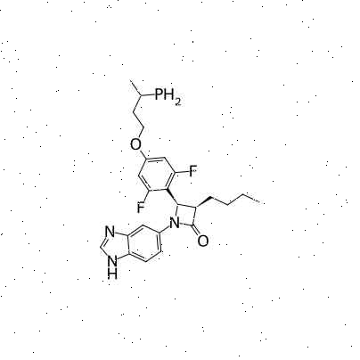 CCCC[C@H]1C(=O)N(c2ccc3[nH]cnc3c2)[C@H]1c1c(F)cc(OCCC(C)P)cc1F